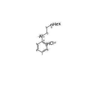 CCCCCCC[CH2][Al][c]1ccccc1.Cl